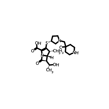 C[C@@H](O)[C@H]1C(=O)N2C(C(=O)O)=C(S[C@@H]3CCN(CC4(C)CCNCC4)C3)[C@H](C)[C@H]12